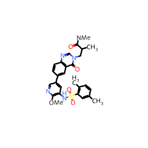 CNC(=O)C(C)Cn1cnc2ccc(-c3cnc(OC)c(NS(=O)(=O)c4cc(C)ccc4C)c3)cc2c1=O